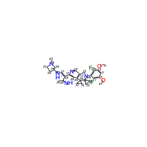 COc1cc(OC)c(F)c(N2Cc3cnc(/C(=C/NC4CCN(C)C4)C(C)=N)cc3C3(CC3)C23CC3)c1F